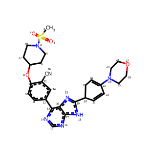 CS(=O)(=O)N1CCC(Oc2ccc(-c3ncnc4[nH]c(C5C=CC(N6CCOCC6)=CC5)nc34)cc2C#N)CC1